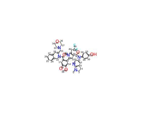 CN1CCc2cc(N(C(=O)c3cc(-c4cc5c(cc4C(=O)N4Cc6ccccc6C[C@H]4CN4CCOCC4)OCO5)n(C)c3CC(F)F)c3ccc(O)cc3)cnc21